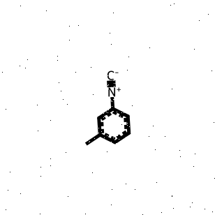 [C-]#[N+]c1cccc(C)c1